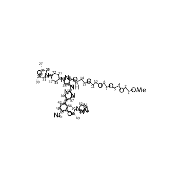 COCCOCCOCCOCCOCCCOc1nn(C2CCC(N3C[C@@H](C)O[C@@H](C)C3)CC2)cc1Nc1ncc(-c2ccc(C#N)c(O[C@@H](C)Cn3cnnn3)c2)cn1